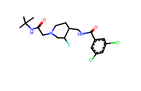 CC(C)(C)NC(=O)CN1CCC(CNC(=O)c2cc(Cl)cc(Cl)c2)C(F)C1